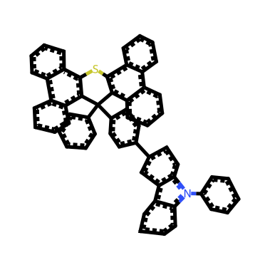 c1ccc(-n2c3ccccc3c3cc(-c4ccc(C5(c6ccccc6)c6c(c7ccccc7c7ccccc67)Sc6c5c5ccccc5c5ccccc65)cc4)ccc32)cc1